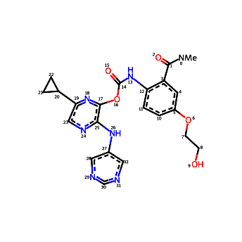 CNC(=O)c1cc(OCCO)ccc1NC(=O)Oc1nc(C2CC2)cnc1Nc1cncnc1